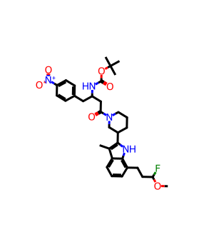 COC(F)CCc1cccc2c(C)c(C3CCCN(C(=O)CC(Cc4ccc([N+](=O)[O-])cc4)NC(=O)OC(C)(C)C)C3)[nH]c12